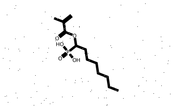 C=C(C)C(=O)OC(CCCCCCC)P(=O)(O)O